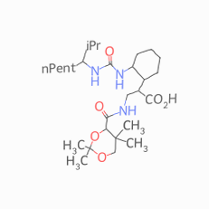 CCCCCC(NC(=O)NC1CCCCC1C(CNC(=O)C1OC(C)(C)OCC1(C)C)C(=O)O)C(C)C